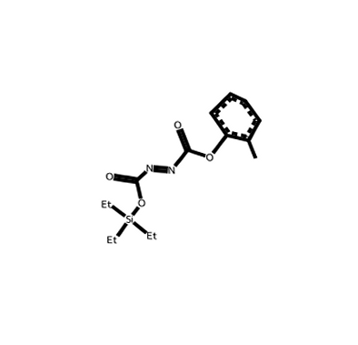 CC[Si](CC)(CC)OC(=O)N=NC(=O)Oc1ccccc1C